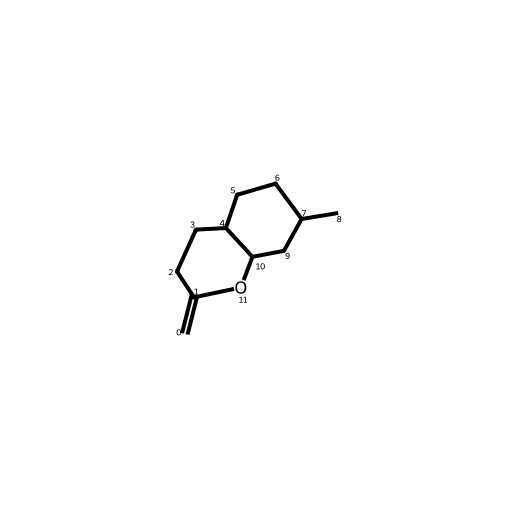 C=C1CCC2CCC(C)CC2O1